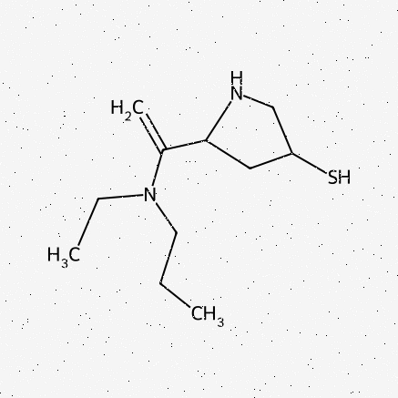 C=C(C1CC(S)CN1)N(CC)CCC